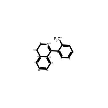 FC(F)(F)c1ccccc1C1=NCCc2ccccc21